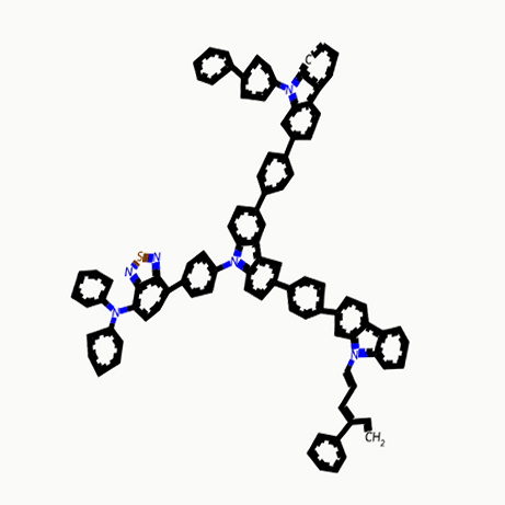 C=C/C(=C\C=C\n1c2ccccc2c2ccc(-c3ccc(-c4ccc5c(c4)c4cc(-c6ccc(-c7ccc8c9ccccc9n(-c9ccc(-c%10ccccc%10)cc9)c8c7)cc6)ccc4n5-c4ccc(-c5ccc(N(c6ccccc6)c6ccccc6)c6nsnc56)cc4)cc3)cc21)c1ccccc1